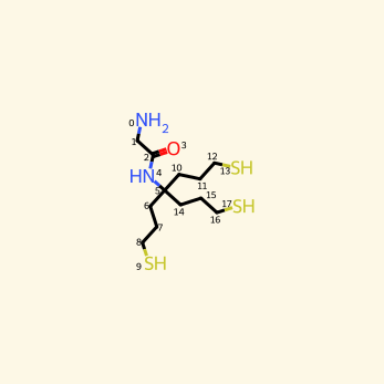 NCC(=O)NC(CCCS)(CCCS)CCCS